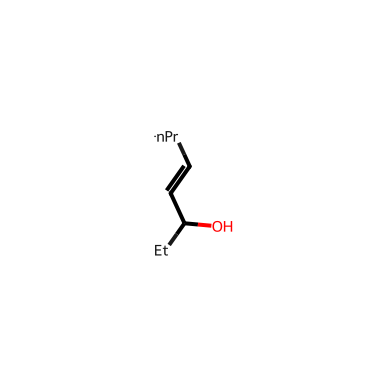 CC[CH]/C=C/C(O)CC